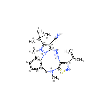 C=C(C)c1nsc2c1/N=N/c1c(C#N)c(C(C)(C)C)nn1-c1c(C)cccc1CN2C